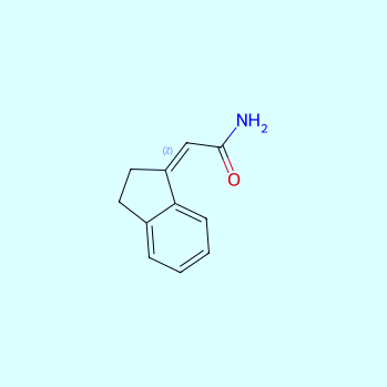 NC(=O)/C=C1/CCc2ccccc21